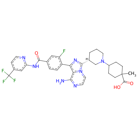 CC1(C(=O)O)CCC(N2CCC[C@@H](c3nc(-c4ccc(C(=O)Nc5cc(C(F)(F)F)ccn5)cc4F)c4c(N)nccn34)C2)CC1